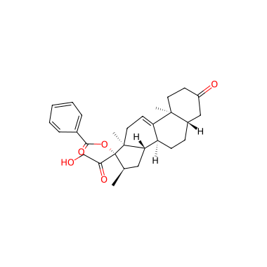 C[C@@H]1C[C@H]2[C@@H]3CC[C@H]4CC(=O)CC[C@]4(C)C3=CC[C@]2(C)[C@]1(OC(=O)c1ccccc1)C(=O)CO